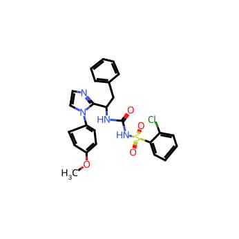 COc1ccc(-n2ccnc2C(Cc2ccccc2)NC(=O)NS(=O)(=O)c2ccccc2Cl)cc1